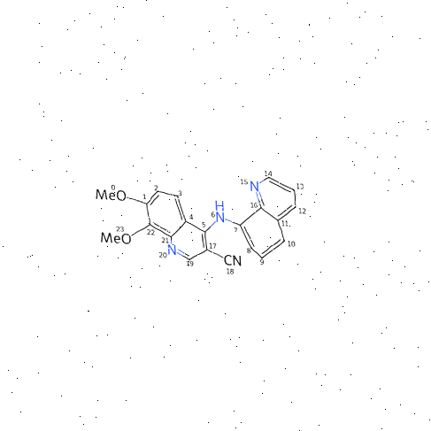 COc1ccc2c(Nc3cccc4cccnc34)c(C#N)cnc2c1OC